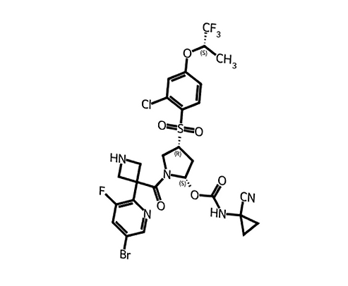 C[C@H](Oc1ccc(S(=O)(=O)[C@@H]2C[C@H](OC(=O)NC3(C#N)CC3)N(C(=O)C3(c4ncc(Br)cc4F)CNC3)C2)c(Cl)c1)C(F)(F)F